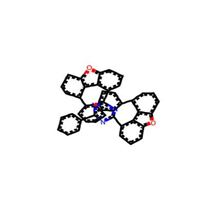 c1ccc(-c2nc(-c3cccc4oc5cccc(-c6ccccc6)c5c34)nc(-c3cccc4oc5cccc(-c6ccccc6)c5c34)n2)cc1